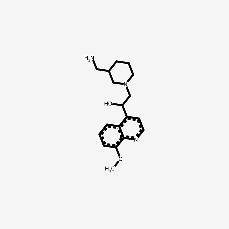 COc1cccc2c(C(O)CN3CCCC(CN)C3)ccnc12